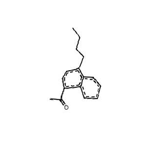 CCCCc1ccc(C(C)=O)c2ccccc12